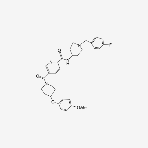 COc1ccc(OC2CCN(C(=O)c3ccc(C(=O)NC4CCN(Cc5ccc(F)cc5)CC4)nc3)CC2)cc1